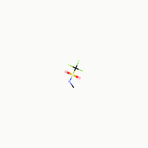 C[N]S(=O)(=O)C(F)(F)F